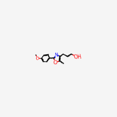 COc1ccc(-c2nc(CCCO)c(C)o2)cc1